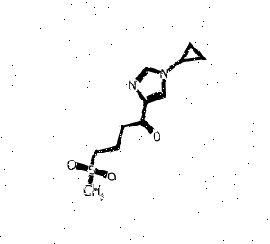 CS(=O)(=O)CC[CH]C(=O)c1cn(C2CC2)cn1